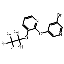 [2H]C([2H])([2H])C([2H])([2H])Oc1cccnc1Oc1cncc(Br)c1